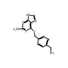 NCc1ccc(COc2nc(N)nc3[nH]cnc23)cc1